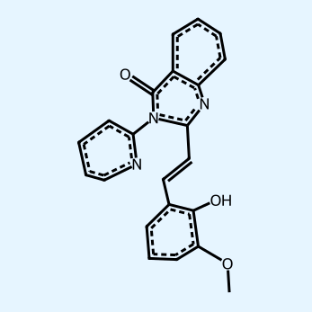 COc1cccc(/C=C/c2nc3ccccc3c(=O)n2-c2ccccn2)c1O